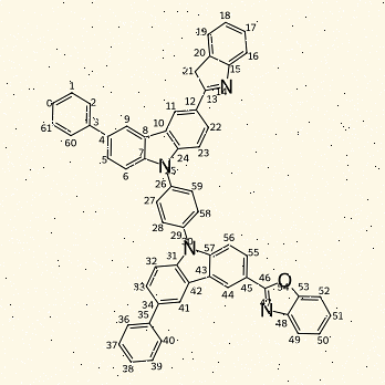 c1ccc(-c2ccc3c(c2)c2cc(C4=Nc5ccccc5C4)ccc2n3-c2ccc(-n3c4ccc(-c5ccccc5)cc4c4cc(-c5nc6ccccc6o5)ccc43)cc2)cc1